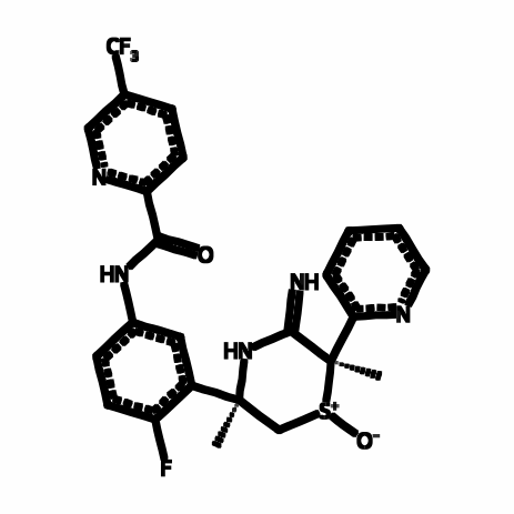 C[C@@]1(c2ccccn2)C(=N)N[C@](C)(c2cc(NC(=O)c3ccc(C(F)(F)F)cn3)ccc2F)C[S+]1[O-]